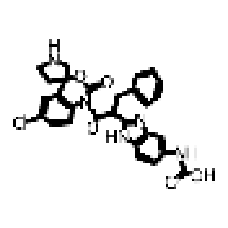 O=C(O)Nc1ccc2[nH]c(C(Cc3ccccc3)C(=O)N3C(=O)OC4(CCNC4)c4cc(Cl)ccc43)nc2c1